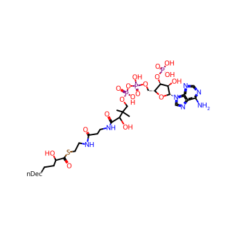 CCCCCCCCCCCCC(O)C(=O)SCCNC(=O)CCNC(=O)C(O)C(C)(C)COP(=O)(O)OP(=O)(O)OC[C@H]1O[C@@H](n2cnc3c(N)ncnc32)[C@H](O)[C@@H]1OP(=O)(O)O